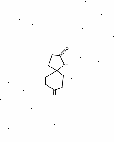 O=C1CCC2(CCNCC2)N1